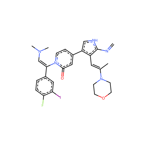 C=Nc1[nH]cc(-c2ccn(/C(=C\N(C)C)c3ccc(F)c(I)c3)c(=O)c2)c1/C=C(\C)N1CCOCC1